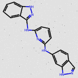 c1cc(Nc2ccc3cn[nH]c3c2)nc(Nc2n[nH]c3ccccc23)c1